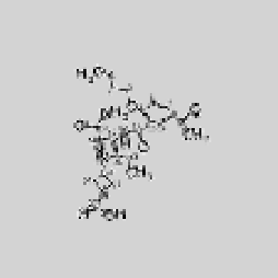 CCCCOc1ccc(C(C)=O)cc1C(=O)Nc1c(C(N)=O)nn(C2CN(C(=O)O)C2)c1CC